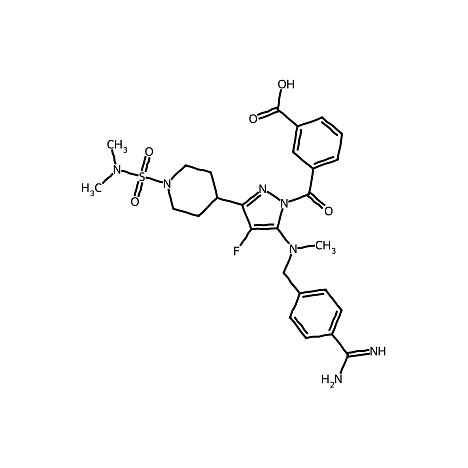 CN(Cc1ccc(C(=N)N)cc1)c1c(F)c(C2CCN(S(=O)(=O)N(C)C)CC2)nn1C(=O)c1cccc(C(=O)O)c1